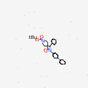 CC(C)(C)OC(=O)N1CCC2(CC1)C(=O)N(c1ccc(-c3ccccc3)cc1)C2c1ccccc1